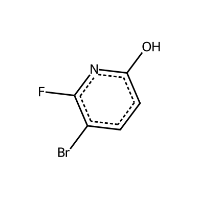 Oc1ccc(Br)c(F)n1